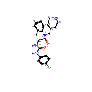 O=C(Nc1ccc(Cl)cc1)N[C@H](Cc1ccccc1)C(=O)NCC1CCNCC1